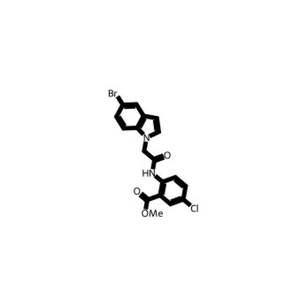 COC(=O)c1cc(Cl)ccc1NC(=O)Cn1ccc2cc(Br)ccc21